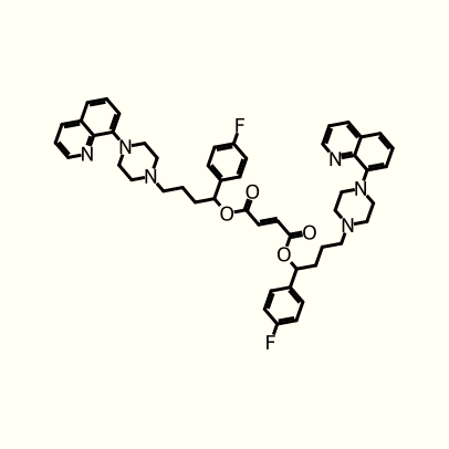 O=C(/C=C/C(=O)OC(CCCN1CCN(c2cccc3cccnc23)CC1)c1ccc(F)cc1)OC(CCCN1CCN(c2cccc3cccnc23)CC1)c1ccc(F)cc1